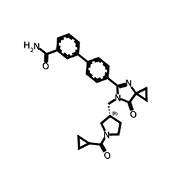 NC(=O)c1cccc(-c2ccc(C3=NC4(CC4)C(=O)N3C[C@@H]3CCN(C(=O)C4CC4)C3)cc2)c1